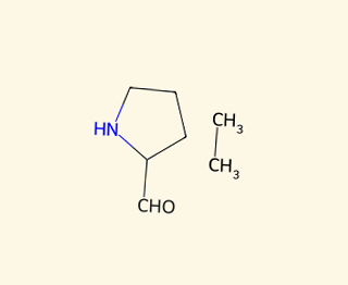 CC.O=CC1CCCN1